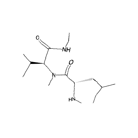 CNC(=O)[C@H](C(C)C)N(C)C(=O)[C@H](CC(C)C)NC